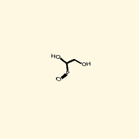 O=PC(O)CO